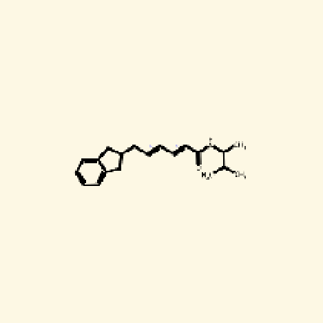 CC(C)C(C)NC(=O)/C=C/C=C/CC1Cc2ccccc2C1